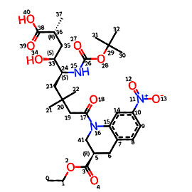 CCOC(=O)[C@@H]1Cc2ccc([N+](=O)[O-])cc2N(C(=O)CC(C)(C)C[C@H](NC(=O)OC(C)(C)C)[C@@H](O)C[C@@H](C)C(=O)O)C1